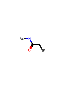 CC(=O)[N]C(=O)CC(C)C